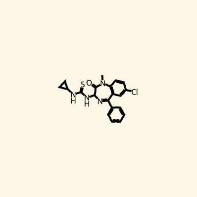 CN1C(=O)C(NC(=S)NC2CC2)N=C(c2ccccc2)c2cc(Cl)ccc21